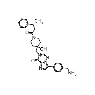 C[C@H](CC(=O)N1CCC(O)(Cn2cnn3c(-c4ccc(CN)cc4)cnc3c2=O)CC1)c1ccccc1